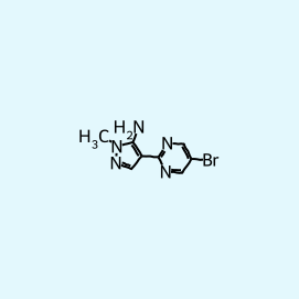 Cn1ncc(-c2ncc(Br)cn2)c1N